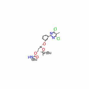 Cc1c(Cl)nc(-c2cccc(OC[C@@H](CCOC(=O)NC(C)(C)C)O[Si](C)(C)C(C)(C)C)c2)nc1Cl